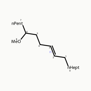 [CH2]CCCCCCC/C=C/CCC(CCCCC)OC